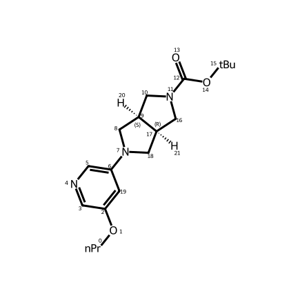 CCCOc1cncc(N2C[C@H]3CN(C(=O)OC(C)(C)C)C[C@H]3C2)c1